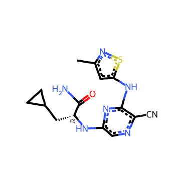 Cc1cc(Nc2nc(N[C@H](CC3CC3)C(N)=O)cnc2C#N)sn1